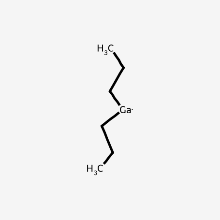 CC[CH2][Ga][CH2]CC